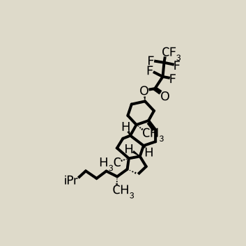 CC(C)CCC[C@@H](C)[C@H]1CC[C@H]2[C@@H]3CC=C4C[C@@H](OC(=O)C(F)(F)C(F)(F)C(F)(F)F)CC[C@]4(C)[C@H]3CC[C@]12C